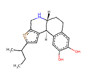 CCC(C)c1cc2c(s1)CN[C@@H]1CCc3cc(O)c(O)cc3[C@@H]21